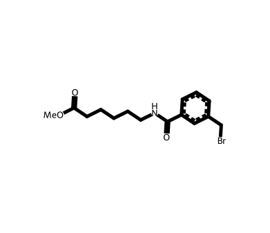 COC(=O)CCCCCNC(=O)c1cccc(CBr)c1